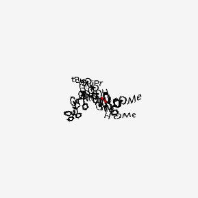 COc1ccc(C(Nc2ccn([C@@H]3OC(COP(=O)(NCc4ccccc4)OCCSC(=O)C(C)(C)COC(c4ccccc4)(c4ccccc4)c4ccccc4)[C@@H](OC(=O)[C@H](NC(=O)OC(C)(C)C)C(C)C)[C@@]3(C)O)c(=O)n2)(c2ccccc2)c2ccc(OC)cc2)cc1